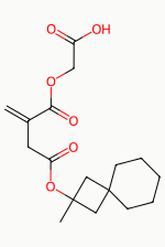 C=C(CC(=O)OC1(C)CC2(CCCCC2)C1)C(=O)OCC(=O)O